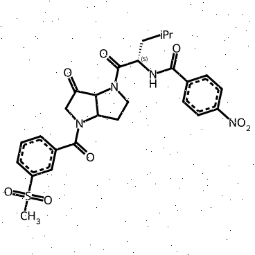 CC(C)C[C@H](NC(=O)c1ccc([N+](=O)[O-])cc1)C(=O)N1CCC2C1C(=O)CN2C(=O)c1cccc(S(C)(=O)=O)c1